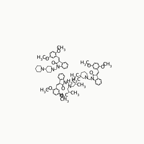 COc1ccc(OC)c(C=C2C(=O)N(CN(CC(C)C)CC(C)C)c3ccccc32)c1.COc1ccc(OC)c(C=C2C(=O)N(CN3CCC(N4CCCCC4)CC3)c3ccccc32)c1.COc1ccc(OC)c(C=C2C(=O)N(CN3CCCC(C)(C)C3)c3ccccc32)c1